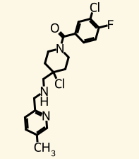 Cc1ccc(CNCC2(Cl)CCN(C(=O)c3ccc(F)c(Cl)c3)CC2)nc1